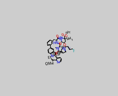 CCCOC(=O)[C@@]1([SiH3])CCCN(C(=O)[C@H](Cc2cccc(-c3ccc4c(c3)c(CCC)c(-c3cccnc3[C@H](C)OC)n4CC)c2)NC(=O)[C@H](C(C)C)N(C)C(=O)[C@]2([SiH3])CCN(C(=O)/C=C/CF)C2)N1